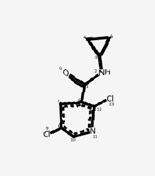 O=C(NC1CC1)c1cc(Cl)cnc1Cl